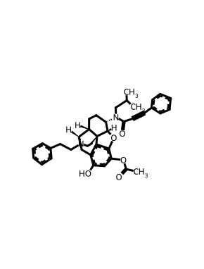 CC(=O)Oc1cc(O)c2c3c1O[C@H]1[C@@H](N(CC(C)C)C(=O)C#Cc4ccccc4)CC[C@H]4[C@@H](C2)N(CCc2ccccc2)CC[C@@]341